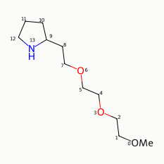 COCCOCCOCCC1CCCN1